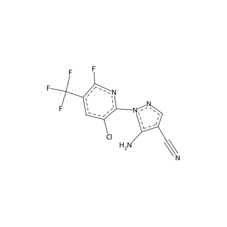 N#Cc1cnn(-c2nc(F)c(C(F)(F)F)cc2Cl)c1N